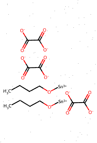 CCCC[O][Sn+3].CCCC[O][Sn+3].O=C([O-])C(=O)[O-].O=C([O-])C(=O)[O-].O=C([O-])C(=O)[O-]